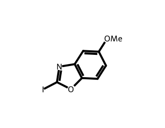 COc1ccc2oc(I)nc2c1